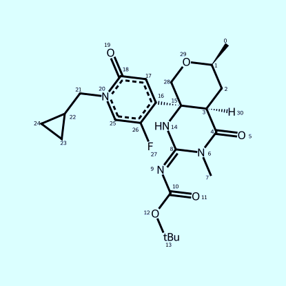 C[C@H]1C[C@H]2C(=O)N(C)/C(=N\C(=O)OC(C)(C)C)N[C@@]2(c2cc(=O)n(CC3CC3)cc2F)CO1